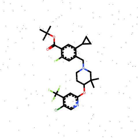 CC(C)(C)OC(=O)c1cc(C2CC2)c(CN2CCC(Oc3cc(C(F)(F)F)c(Cl)cn3)C(C)(C)C2)cc1F